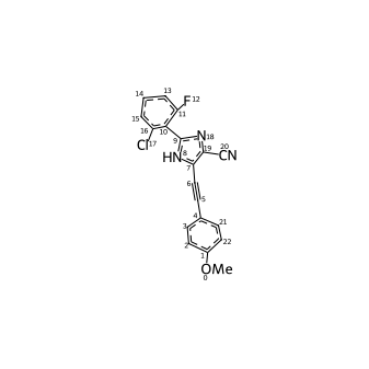 COc1ccc(C#Cc2[nH]c(-c3c(F)cccc3Cl)nc2C#N)cc1